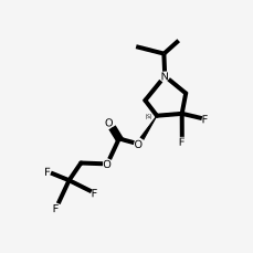 CC(C)N1C[C@H](OC(=O)OCC(F)(F)F)C(F)(F)C1